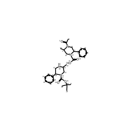 CC(=O)N1CC(c2ccccc2)N(C(=O)O)CC1C.CC1CN(C(=O)OC(C)(C)C)C(c2ccccc2)CN1